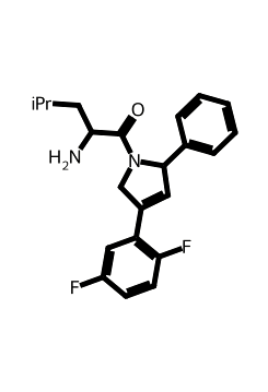 CC(C)CC(N)C(=O)N1CC(c2cc(F)ccc2F)=CC1c1ccccc1